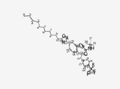 CCCCCCCCCCCc1nc(-c2ccc(C(Cc3ccc(C(F)(F)F)cc3)OC(=O)NC(C)(C)C)cc2)no1